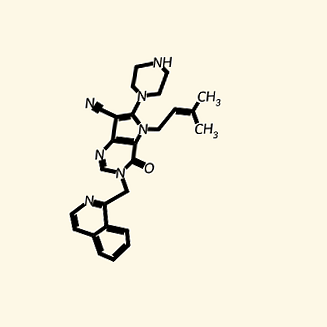 CC(C)=CCn1c(N2CCNCC2)c(C#N)c2ncn(Cc3nccc4ccccc34)c(=O)c21